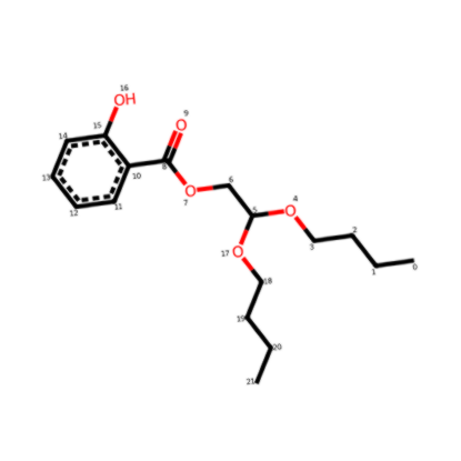 CCCCOC(COC(=O)c1ccccc1O)OCCCC